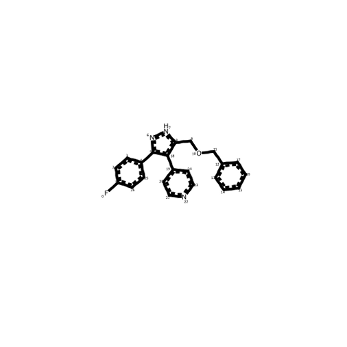 Fc1ccc(-c2n[nH]c(COCc3ccccc3)c2-c2ccncc2)cc1